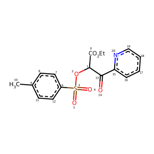 CCOC(=O)C(OS(=O)(=O)c1ccc(C)cc1)C(=O)c1ccccn1